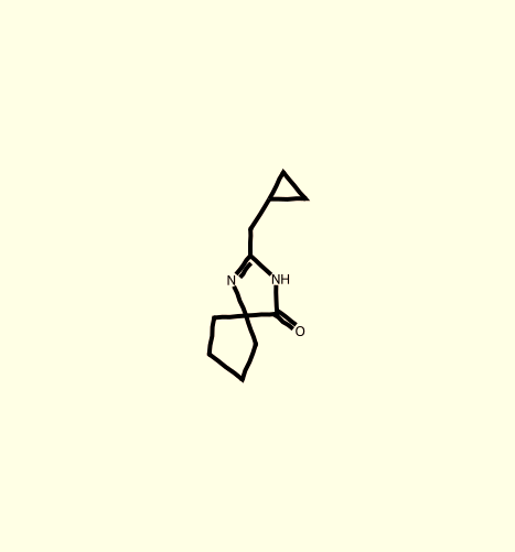 O=C1NC(CC2CC2)=NC12CCCC2